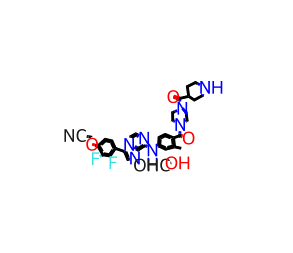 Cc1cc(Nc2nccn3c(-c4ccc(OCC#N)c(F)c4F)cnc23)ccc1C(=O)N1CCN(C(=O)C2CCNCC2)CC1.O=CO